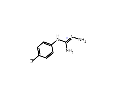 N/N=C(\N)Nc1ccc(Cl)cc1